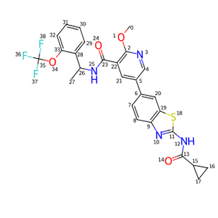 COc1ncc(-c2ccc3nc(NC(=O)C4CC4)sc3c2)cc1C(=O)NC(C)c1ccccc1OC(F)(F)F